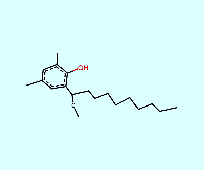 CCCCCCCCCC(CC)c1cc(C)cc(C)c1O